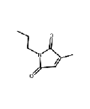 CCCN1C(=O)C=C(C)C1=O